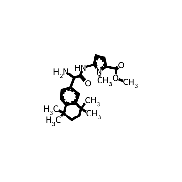 COC(=O)c1ccc(NC(=O)C(N)c2ccc3c(c2)C(C)(C)CCC3(C)C)n1C